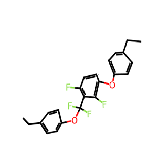 CCc1ccc(Oc2[c]cc(F)c(C(F)(F)Oc3ccc(CC)cc3)c2F)cc1